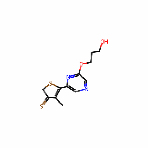 CC1=C(c2cncc(OCCCO)n2)SCC1=S